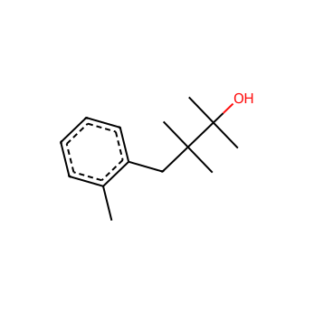 Cc1ccccc1CC(C)(C)C(C)(C)O